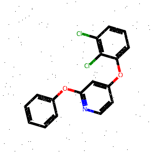 Clc1cccc(Oc2[c]c(Oc3ccccc3)ncc2)c1Cl